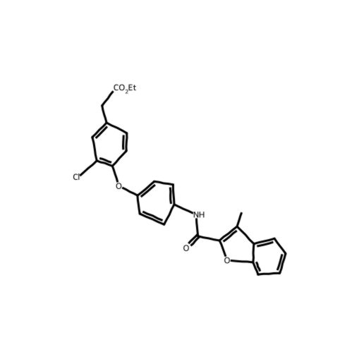 CCOC(=O)Cc1ccc(Oc2ccc(NC(=O)c3oc4ccccc4c3C)cc2)c(Cl)c1